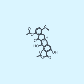 CC(=O)Oc1ccc(N(C)C)c2c1C(=O)C1=C(O)c3c(cc(O)c(C(C)=O)c3OC(C)=O)C[C@@H]1C2